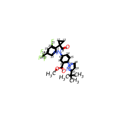 COC(=O)c1cc(NC(=O)C2(c3ccc(C(F)(F)F)cc3F)CC2)ccc1-n1ccc(C(C)(C)C)n1